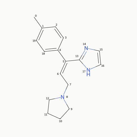 Cc1ccc(C(=CCN2CCCC2)c2ncc[nH]2)cc1